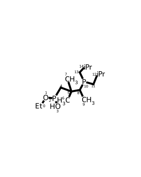 CCOP(O)CC(C)(C)C(C)P(CC(C)C)CC(C)C